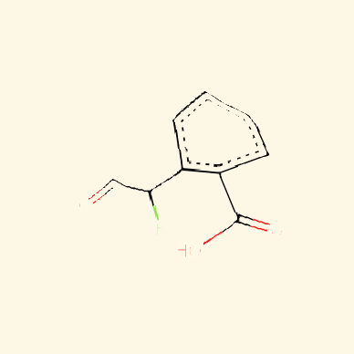 O=CC(F)c1ccccc1C(=O)O